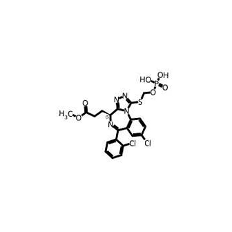 COC(=O)CC[C@@H]1N=C(c2ccccc2Cl)c2cc(Cl)ccc2-n2c(SCOP(=O)(O)O)nnc21